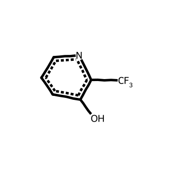 Oc1cccnc1C(F)(F)F